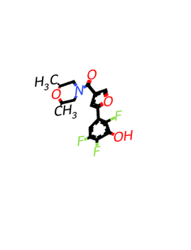 C[C@@H]1CN(C(=O)c2coc(-c3cc(F)c(F)c(O)c3F)c2)C[C@H](C)O1